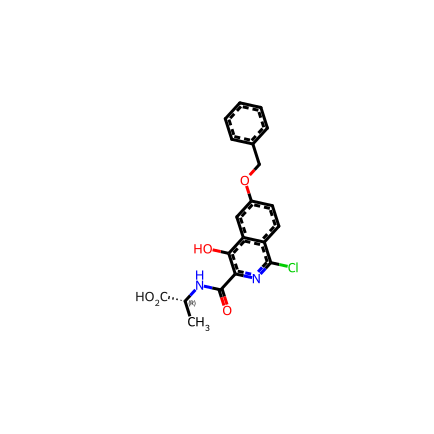 C[C@@H](NC(=O)c1nc(Cl)c2ccc(OCc3ccccc3)cc2c1O)C(=O)O